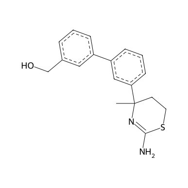 CC1(c2cccc(-c3cccc(CO)c3)c2)CCSC(N)=N1